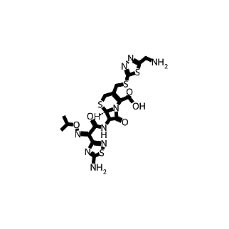 CC(C)O/N=C(\C(=O)NC1C(=O)N2C(C(=O)O)=C(CSc3nnc(CN)s3)CS[C@H]12)c1nsc(N)n1